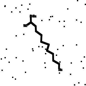 CCCCCCC(C#N)CCCCCCCCCC(C)CC